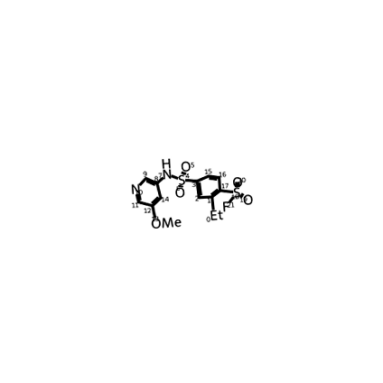 CCc1cc(S(=O)(=O)Nc2cncc(OC)c2)ccc1S(=O)(=O)F